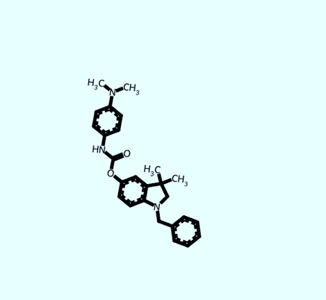 CN(C)c1ccc(NC(=O)Oc2ccc3c(c2)C(C)(C)CN3Cc2ccccc2)cc1